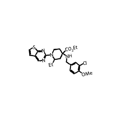 CCOC(=O)C1(NCc2ccc(OC)c(Cl)c2)CCN(c2ncc3ccsc3n2)C(CC)C1